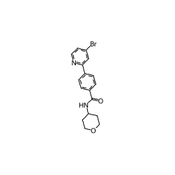 O=C(NC1CCOCC1)c1ccc(-c2cc(Br)ccn2)cc1